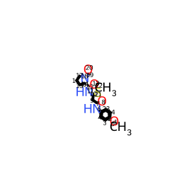 COc1ccc(NC(=O)CC(NC(=O)[C@@H]2CCCN2C=O)SC)cc1